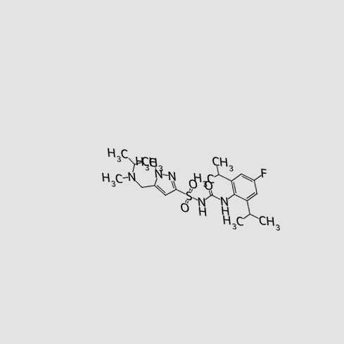 CC(C)c1cc(F)cc(C(C)C)c1NC(=O)NS(=O)(=O)c1cc(CN(C)C(C)C)n(C)n1